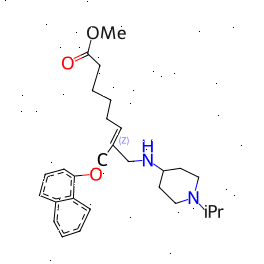 COC(=O)CCCC/C=C(/CNC1CCN(C(C)C)CC1)COc1cccc2ccccc12